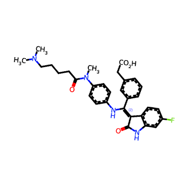 CN(C)CCCCC(=O)N(C)c1ccc(N/C(=C2\C(=O)Nc3cc(F)ccc32)c2cccc(CC(=O)O)c2)cc1